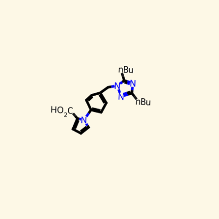 CCCCc1nc(CCCC)n(Cc2ccc(-n3cccc3C(=O)O)cc2)n1